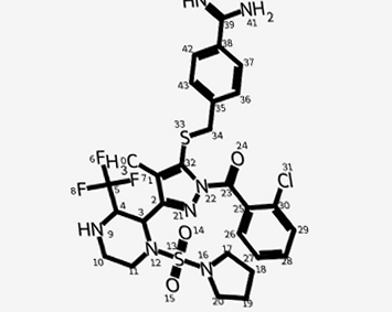 Cc1c(C2C(C(F)(F)F)NCCN2S(=O)(=O)N2CCCC2)nn(C(=O)c2ccccc2Cl)c1SCc1ccc(C(=N)N)cc1